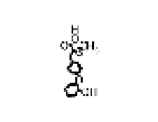 COC(Cc1ccc(OC2CCCCC2O)cc1)C(=O)O